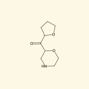 O=C([C]1CCCO1)C1CNCCO1